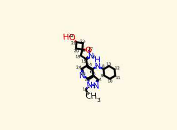 CCn1ncc2c(NC3CCCCC3)c(C3=NOC4(C3)CC(O)C4)cnc21